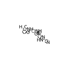 C[C@@H](NC(=O)[C@H]1CC[C@H](NS(=O)(=O)c2ccc3[nH]c(-c4ccncc4)nc3c2)CC1)c1ccccc1